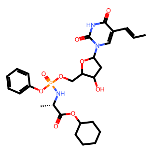 C/C=C/c1cn(C2CC(O)C(COP(=O)(N[C@@H](C)C(=O)OC3CCCCC3)Oc3ccccc3)O2)c(=O)[nH]c1=O